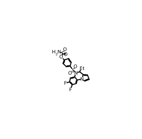 CCC1c2cccn2-c2cc(F)c(F)cc2N1S(=O)(=O)c1ccc(OS(N)(=O)=O)cc1